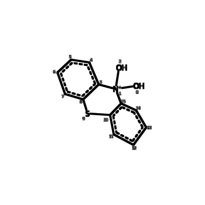 O[N+]1(O)c2ccccc2Sc2ccccc21